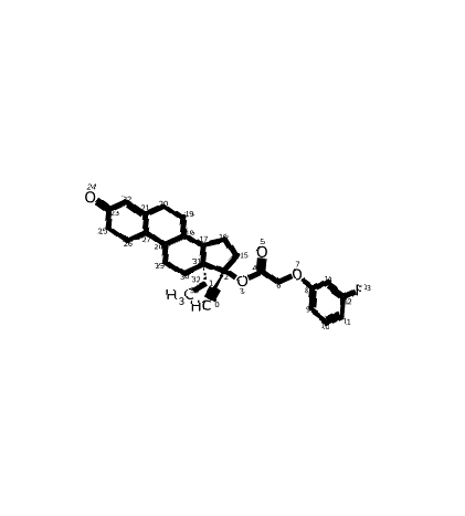 C#C[C@]1(OC(=O)COc2cccc(F)c2)CCC2C3CCC4=CC(=O)CCC4C3CC[C@@]21CC